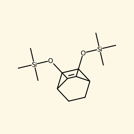 C[Si](C)(C)OC1=C(O[Si](C)(C)C)C2CCC1CC2